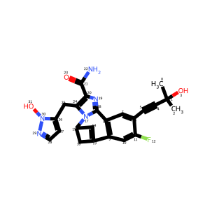 CC(C)(O)C#Cc1cc2c(cc1F)C1=CC(C1)n1c-2nc(C(N)=O)c1Cc1ccnn1O